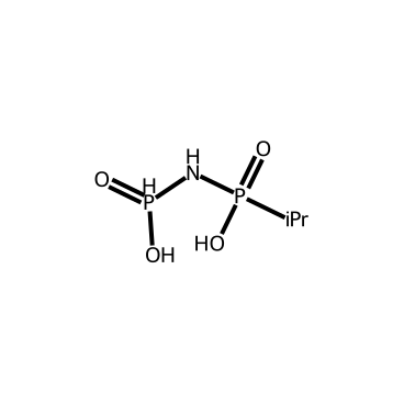 CC(C)P(=O)(O)N[PH](=O)O